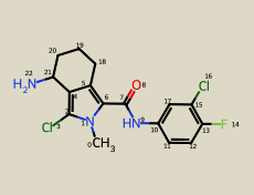 Cn1c(Cl)c2c(c1C(=O)Nc1ccc(F)c(Cl)c1)CCCC2N